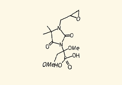 COCC(OC)(N1C(=O)N(CC2CO2)C(C)(C)C1=O)P(=O)(O)O